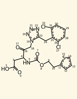 O=C(O)CC(NC(=O)OCCc1cccs1)C(=O)Cn1nnnc1Cc1c(Cl)cccc1Cl